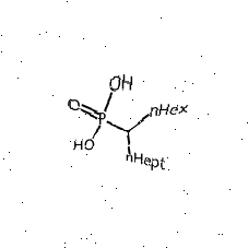 CCCCCCCC(CCCCCC)P(=O)(O)O